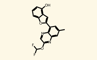 Cc1cc(-c2cc3c(O)cccc3o2)c2ncc(OC(F)F)nc2c1